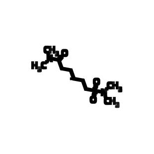 CN(C)C(=O)CC[CH]CCS(=O)(=O)N(C)C